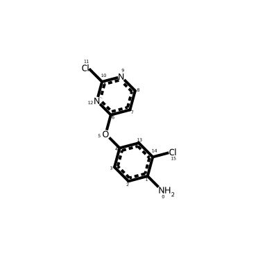 Nc1ccc(Oc2ccnc(Cl)n2)cc1Cl